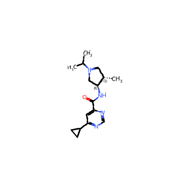 CC(C)N1C[C@H](NC(=O)c2cc(C3CC3)ncn2)[C@@H](C)C1